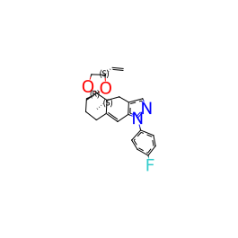 C=C[C@H]1CO[C@]2(CCCC3=Cc4c(cnn4-c4ccc(F)cc4)C[C@@]32C)O1